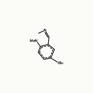 C/N=C\c1cc(C(C)(C)C)ccc1NC